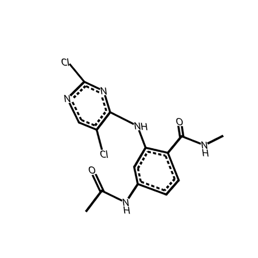 CNC(=O)c1ccc(NC(C)=O)cc1Nc1nc(Cl)ncc1Cl